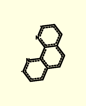 [c]1ccc2ccc3cc[c]nc3c2n1